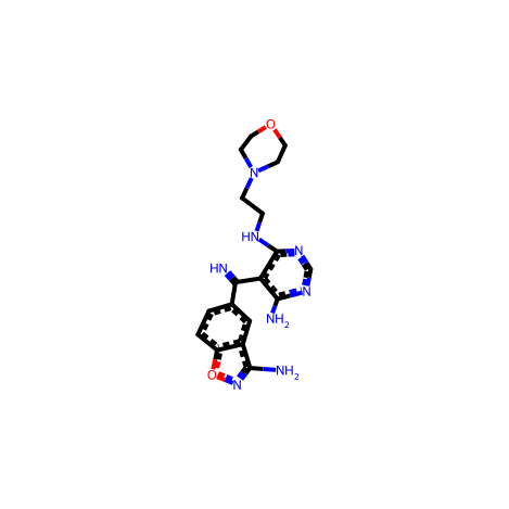 N=C(c1ccc2onc(N)c2c1)c1c(N)ncnc1NCCN1CCOCC1